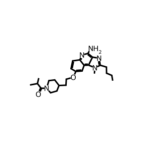 CCCCc1nc2c(N)nc3ccc(OCCC4CCN(C(=O)C(C)C)CC4)cc3c2n1C